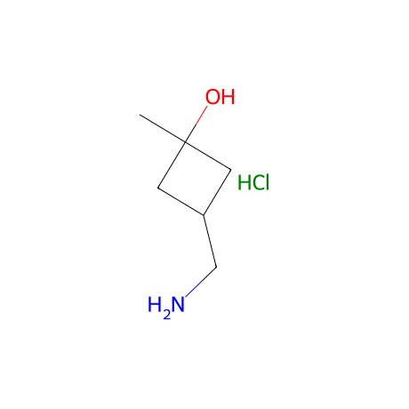 CC1(O)CC(CN)C1.Cl